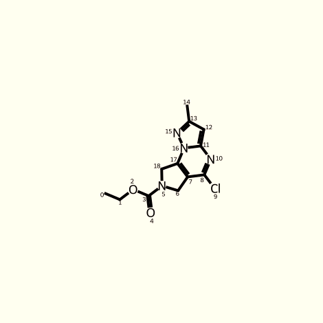 CCOC(=O)N1Cc2c(Cl)nc3cc(C)nn3c2C1